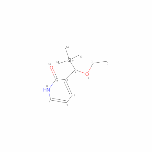 CCOC(c1ccc[nH]c1=O)[Si](C)(C)C